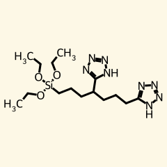 CCO[Si](CCCC(CCCc1nnn[nH]1)c1nnn[nH]1)(OCC)OCC